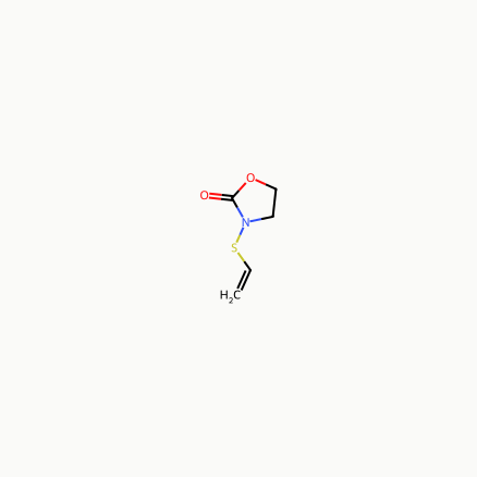 C=CSN1CCOC1=O